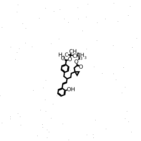 CCOC(=O)CC1(CCC(C=Cc2ccccc2O)Cc2ccc(C(=O)OC(C)(C)C)cc2)CC1